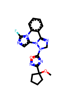 COC1(c2noc(N3CN=C4c5ccccc5-n5c(cnc5F)N43)n2)CCCC1